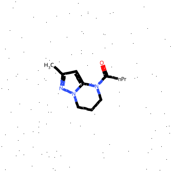 CCCC(=O)N1CCCn2nc(C)cc21